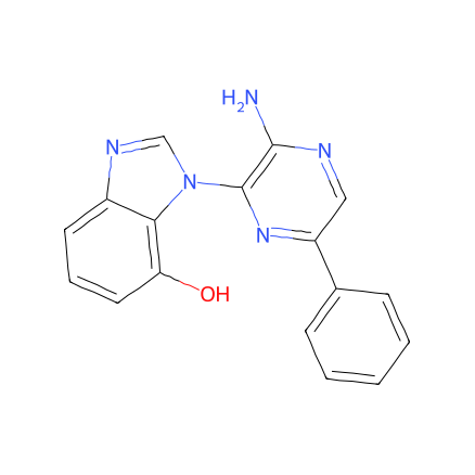 Nc1ncc(-c2ccccc2)nc1-n1cnc2cccc(O)c21